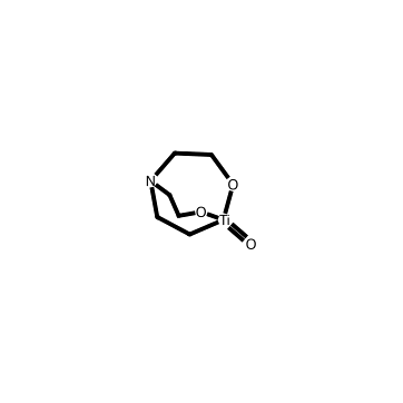 [O]=[Ti]12[CH2]CN(CC[O]1)CC[O]2